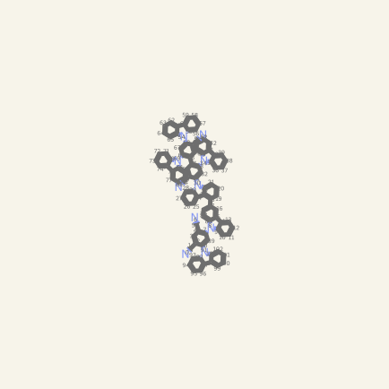 N#Cc1cc(C#N)c(-n2c3ccccc3c3cc(-c4cccc5c4c4ccccc4n5-c4cc(-n5c6ccccc6c6ccccc65)c(-c5cc(C#N)c(-n6c7ccccc7c7ccccc76)cc5-n5c6ccccc6c6ccccc65)cc4C#N)ccc32)cc1-n1c2ccccc2c2ccccc21